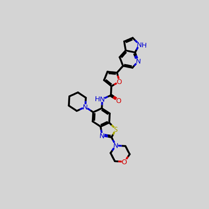 O=C(Nc1cc2sc(N3CCOCC3)nc2cc1N1CCCCC1)c1ccc(-c2cnc3[nH]ccc3c2)o1